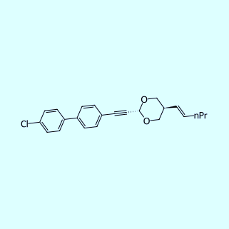 CCCC=C[C@H]1CO[C@H](C#Cc2ccc(-c3ccc(Cl)cc3)cc2)OC1